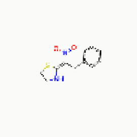 O=[N+]([O-])/C(Cc1ccccc1)=C1/NCCS1